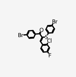 O=C(C(=Cc1ccc(F)cc1Cl)Sc1ccc(Br)cc1)c1ccc(Br)cc1